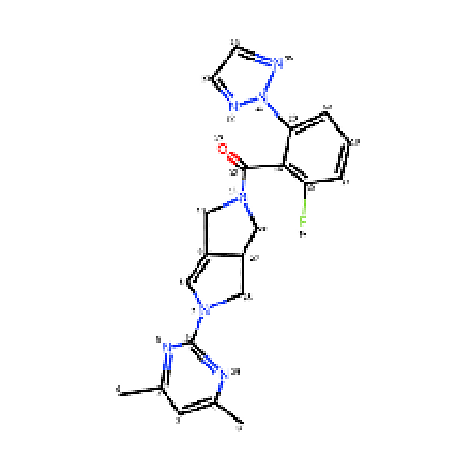 Cc1cc(C)nc(N2C=C3CN(C(=O)c4c(F)cccc4-n4nccn4)CC3C2)n1